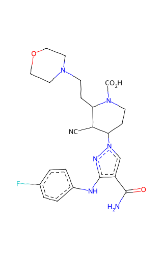 N#CC1C(CCN2CCOCC2)N(C(=O)O)CCC1n1cc(C(N)=O)c(Nc2ccc(F)cc2)n1